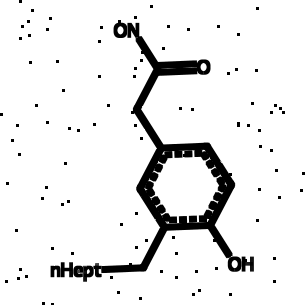 CCCCCCCCc1cc(CC(=O)N=O)ccc1O